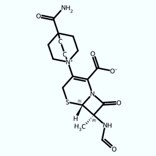 C[C@@]1(NC=O)C(=O)N2C(C(=O)[O-])=C([N+]34CCC(C(N)=O)(CC3)CC4)CS[C@H]21